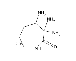 NC1CCCNC(=O)C1(N)N.[Co]